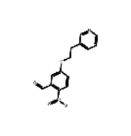 O=Cc1cc(OCCc2cccnc2)ccc1[N+](=O)[O-]